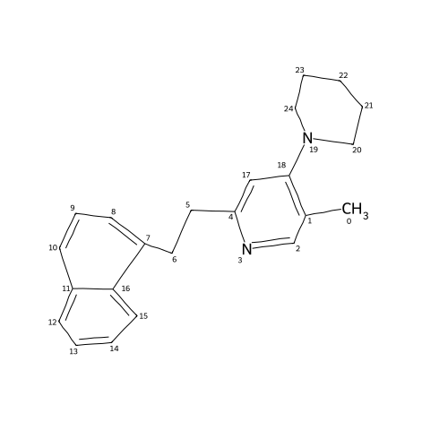 Cc1cnc(CCc2cccc3ccccc23)cc1N1CCCCC1